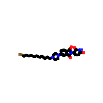 O=C1CCC(N2C(=O)c3ccc(N4CCN(CCCCCCCCCCCBr)CC4)cc3C2=O)C(=O)N1